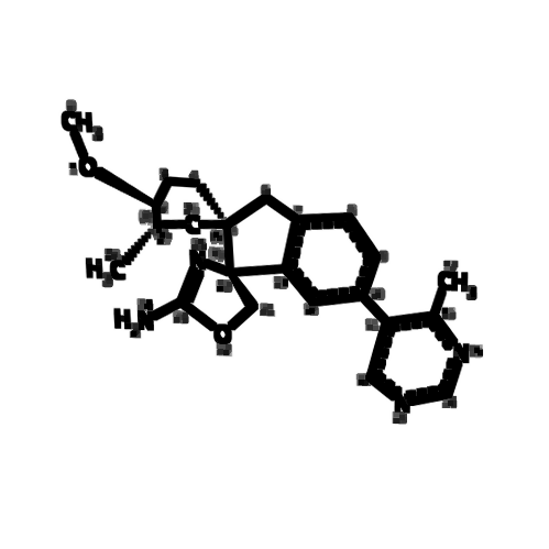 CO[C@H]1CC[C@@]2(Cc3ccc(-c4cncnc4C)cc3[C@@]23COC(N)=N3)C[C@@H]1C